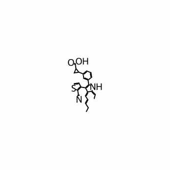 C/C=c1/[nH]c(-c2cccc(C3CC3C(=O)O)c2)c(-c2ccsc2C#N)/c1=C/C=C/CC